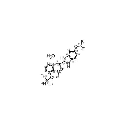 O.[2H]C([2H])([2H])Oc1ccnc(C[S+]([O-])[C@@H]2Nc3ccc(OC(F)F)cc3N2)c1OC